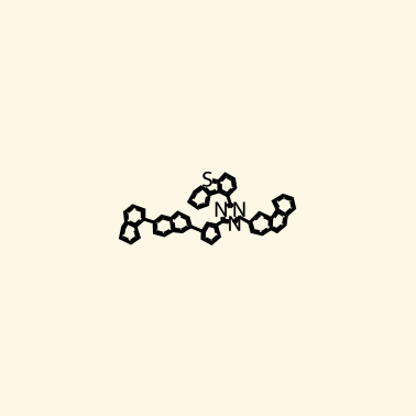 c1cc(-c2ccc3cc(-c4cccc5ccccc45)ccc3c2)cc(-c2nc(-c3ccc4ccc5ccccc5c4c3)nc(-c3cccc4sc5ccccc5c34)n2)c1